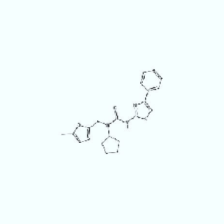 Cc1ccc(CN(C(=O)Nc2nc(-c3ccccc3)cs2)C2CCCC2)o1